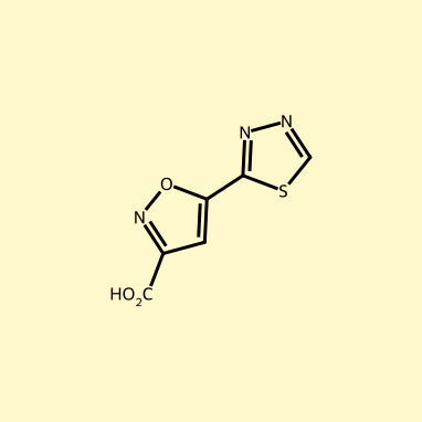 O=C(O)c1cc(-c2nncs2)on1